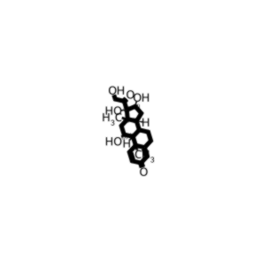 C[C@]12C=CC(=O)C=C1CCC1[C@@H]2[C@@H](O)C[C@@]2(C)[C@H]1C[C@@H](O)[C@]2(O)C(=O)CO